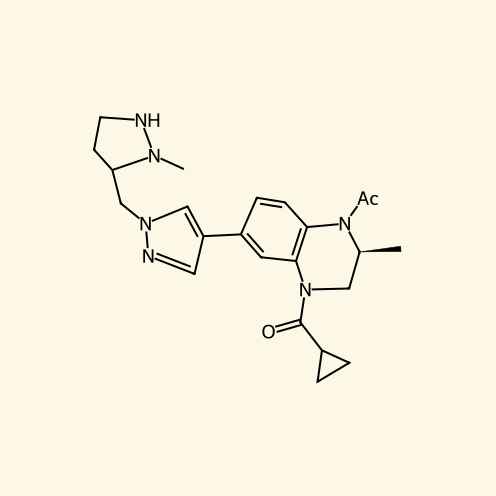 CC(=O)N1c2ccc(-c3cnn(CC4CCNN4C)c3)cc2N(C(=O)C2CC2)C[C@@H]1C